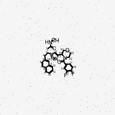 O=C(C[C@@H](Cc1ccc2ccccc2c1)n1cc(C2COCCN2C(=O)c2ccc(F)c(F)c2)nn1)NO